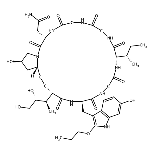 CCCOc1[nH]c2cc(O)ccc2c1C[C@H]1NC(=O)[C@H]([C@@H](C)[C@@H](O)CO)CC[C@@H]2C[C@@H](O)CN2C(=O)[C@H](CC(N)=O)NC(=O)CNC(=O)CNC(=O)[C@H]([C@@H](C)CC)NC(=O)CNC1=O